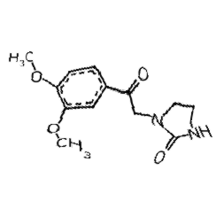 COc1ccc(C(=O)CN2CCNC2=O)cc1OC